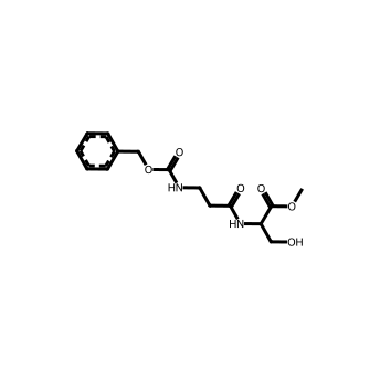 COC(=O)C(CO)NC(=O)CCNC(=O)OCc1ccccc1